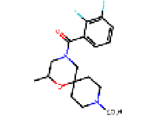 CC1CN(C(=O)c2cccc(F)c2F)CC2(CCN(C(=O)O)CC2)O1